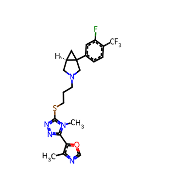 Cc1ncoc1-c1nnc(SCCCN2C[C@H]3CC3(c3ccc(C(F)(F)F)c(F)c3)C2)n1C